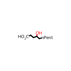 CCCCCCC(O)C[CH]C(=O)O